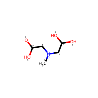 CN(CC(O)O)CC(O)O